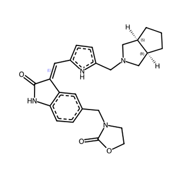 O=C1Nc2ccc(CN3CCOC3=O)cc2/C1=C\c1ccc(CN2C[C@H]3CCC[C@H]3C2)[nH]1